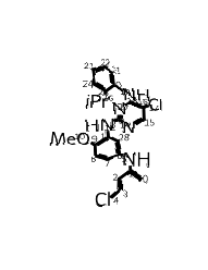 C=C(/C=C/Cl)Nc1ccc(OC)c(Nc2ncc(Cl)c(Nc3ccccc3C(C)C)n2)c1